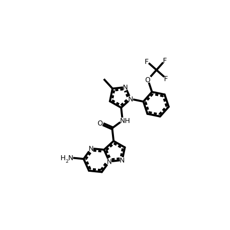 Cc1cc(NC(=O)c2cnn3ccc(N)nc23)n(-c2ccccc2OC(F)(F)F)n1